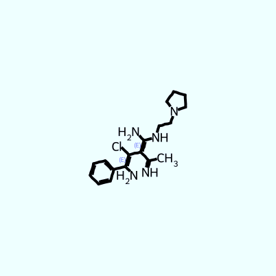 CC(=N)C(=C(/N)NCCN1CCCC1)/C(Cl)=C(\N)c1ccccc1